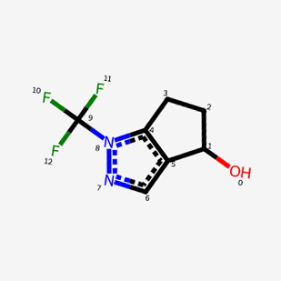 OC1CCc2c1cnn2C(F)(F)F